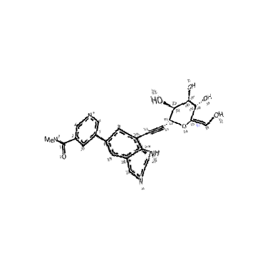 CNC(=O)c1cncc(-c2cc(C#C[C@H]3O/C(=C/O)[C@@H](O)[C@H](O)[C@@H]3O)c3[nH]ncc3c2)c1